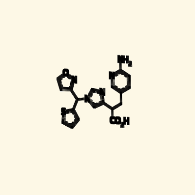 Nc1ccc(CC(C(=O)O)c2cn(C(c3ccon3)c3cccs3)cn2)cn1